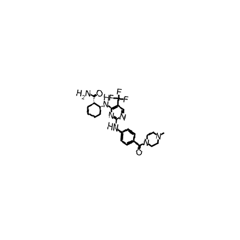 CN1CCN(C(=O)c2ccc(Nc3ncc(C(F)(F)F)c(N[C@@H]4CCCC[C@@H]4C(N)=O)n3)cc2)CC1